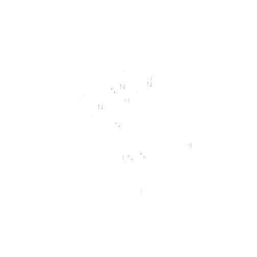 C#CCN(N)c1c(C=C)cccc1CN1C[C@H]2N(C(=O)CN2N(C)C(=O)NCc2ccccc2)[C@@H](Cc2ccccc2)C1=O